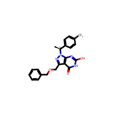 C[C@@H](c1ccc(C(F)(F)F)cc1)n1nc(COCc2ccccc2)c2c(=O)[nH]c(O)nc21